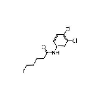 O=C(CCCCI)Nc1ccc(Cl)c(Cl)c1